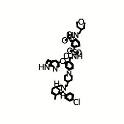 CC1=CC[C@@H]2C[C@H]1[C@H](c1ccc(Cl)cc1)N(CC1CCN(c3ccc(C(=O)NS(=O)(=O)c4ccc(NCC5CCOCC5)c([N+](=O)[O-])c4)c(Oc4cnc5[nH]ccc5c4)c3)CC1)C2